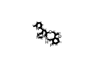 Cc1cccc(-c2cc3c(n4cnnc24)NCc2c(F)ccc4c2[C@@H](CO4)CO3)n1